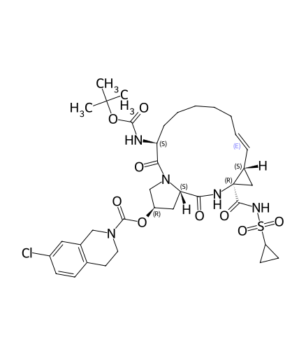 CC(C)(C)OC(=O)N[C@H]1CCCCC/C=C/[C@@H]2C[C@@]2(C(=O)NS(=O)(=O)C2CC2)NC(=O)[C@@H]2C[C@@H](OC(=O)N3CCc4ccc(Cl)cc4C3)CN2C1=O